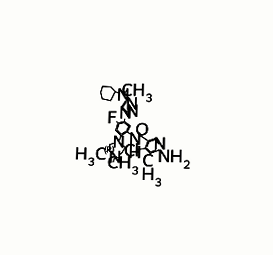 Cc1c(N)ncc(C(=O)Nc2cc(-n3cc(N(C)C4CCCCC4)nn3)c(F)cc2N2CCN(C)[C@H](C)C2)c1Cl